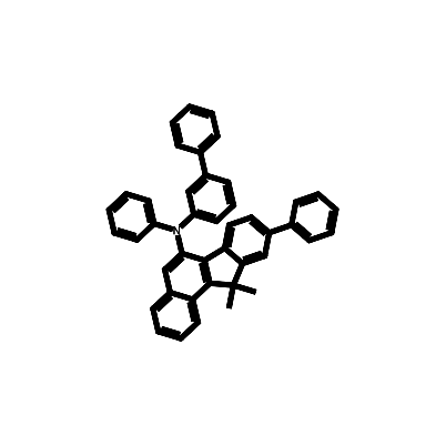 CC1(C)c2cc(-c3ccccc3)ccc2-c2c(N(c3ccccc3)c3cccc(-c4ccccc4)c3)cc3ccccc3c21